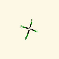 [F][Bi]([F])([F])[F]